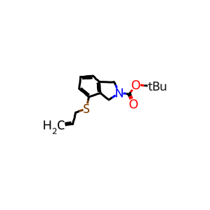 C=CCSc1cccc2c1CN(C(=O)OC(C)(C)C)C2